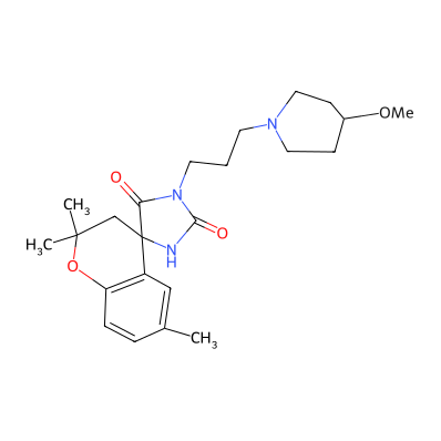 COC1CCN(CCCN2C(=O)NC3(CC(C)(C)Oc4ccc(C)cc43)C2=O)CC1